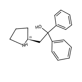 OC(C[C@@H]1CCCN1)(c1ccccc1)c1ccccc1